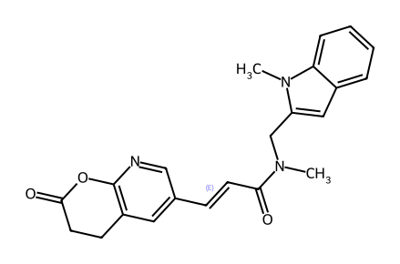 CN(Cc1cc2ccccc2n1C)C(=O)/C=C/c1cnc2c(c1)CCC(=O)O2